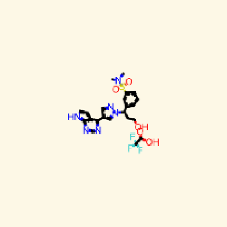 CN(C)S(=O)(=O)c1cccc(C(CCO)n2cc(-c3ncnc4[nH]ccc34)cn2)c1.O=C(O)C(F)(F)F